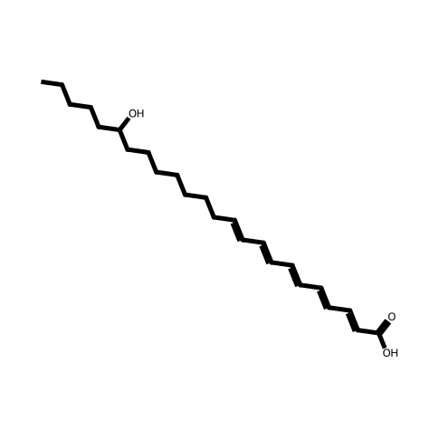 CCCCCC(O)CCCCCCC/C=C/C=C/C=C/C=C/C=C/C(=O)O